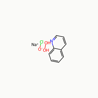 OO.[Na+].[O-]Cl.c1ccc2ncccc2c1